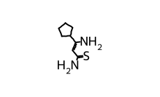 NC(=S)C=C(N)C1CCCC1